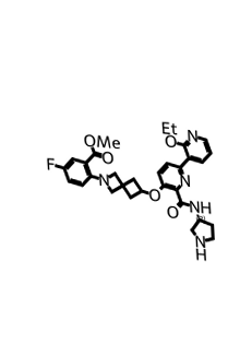 CCOc1ncccc1-c1ccc(OC2CC3(C2)CN(c2ccc(F)cc2C(=O)OC)C3)c(C(=O)N[C@@H]2CCNC2)n1